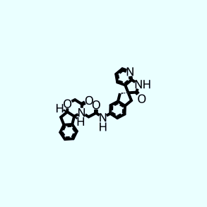 O=C(CN1C(=O)CO[C@H]2Cc3ccccc3[C@H]21)Nc1ccc2c(c1)C[C@@]1(C2)C(=O)Nc2ncccc21